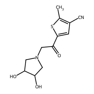 Cc1sc(C(=O)CN2CC(O)C(O)C2)cc1C#N